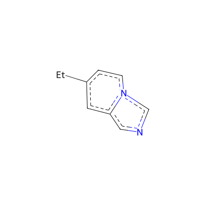 CCc1ccn2cncc2c1